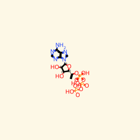 C=C(OP(=O)(O)OP(=O)(O)OP(=O)(O)O)[C@H]1O[C@@H](n2cnc3c(N)ncnc32)[C@H](O)[C@@H]1O